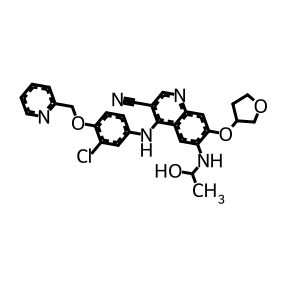 CC(O)Nc1cc2c(Nc3ccc(OCc4ccccn4)c(Cl)c3)c(C#N)cnc2cc1OC1CCOC1